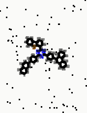 c1ccc2cc(-c3ccc(-c4nc(-c5ccc(-c6cc7ccccc7c7ccccc67)cc5)nc(-c5cccc6c5sc5ccccc56)n4)cc3)ccc2c1